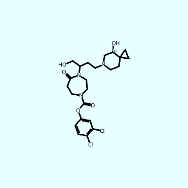 O=C(Oc1ccc(Cl)c(Cl)c1)N1CCC(=O)N(C(CO)CCN2CCC3(CC3)[C@H](O)C2)CC1